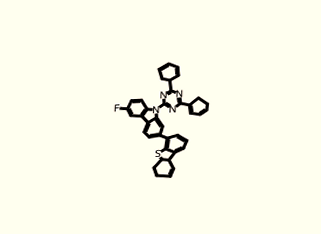 Fc1ccc2c(c1)c1ccc(-c3cccc4c3SC3CCC=CC43)cc1n2-c1nc(C2=CC=CCC2)nc(C2C=CC=CC2)n1